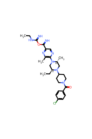 CCNC(=N)OC(=N)c1cnc(N2C[C@H](CC)N(C3CCN(C(=O)c4ccc(Cl)cc4)CC3)C[C@H]2C)c(C)n1